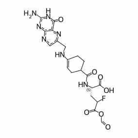 Nc1nc2ncc(CNC3=CCC(C(=O)N[C@@H](CC(F)C(=O)OC=O)C(=O)O)CC3)nc2c(=O)[nH]1